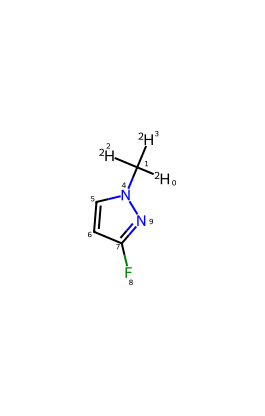 [2H]C([2H])([2H])n1ccc(F)n1